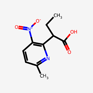 CCC(C(=O)O)c1nc(C)ccc1[N+](=O)[O-]